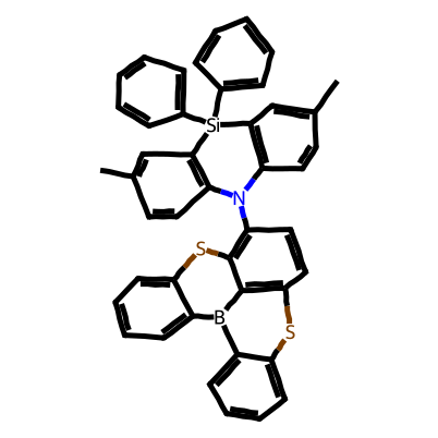 Cc1ccc2c(c1)[Si](c1ccccc1)(c1ccccc1)c1cc(C)ccc1N2c1ccc2c3c1Sc1ccccc1B3c1ccccc1S2